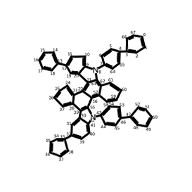 c1ccc(-c2ccc(-n3c4ccc(-c5ccccc5)cc4c4c5c6ccccc6c6c7cc(-c8ccccc8)ccc7n(-c7ccc(-c8ccccc8)cc7)c6c5c5ccccc5c43)cc2)cc1